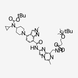 Cc1cn2cc(NC(=O)c3ccc(N4CCC(N(C(=O)OC(C)(C)C)C5CC5)CC4)c4cn(C)nc34)nc2c(CNS(=O)(=O)CCO[Si](C)(C)C(C)(C)C)n1